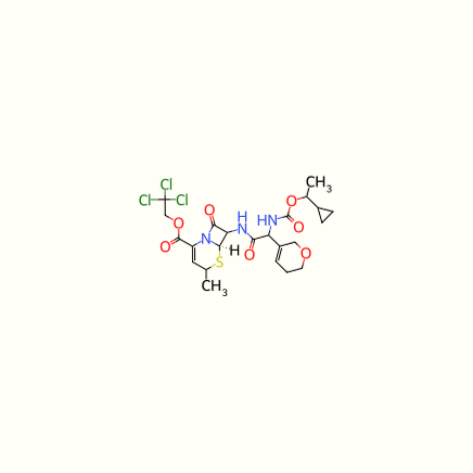 CC1C=C(C(=O)OCC(Cl)(Cl)Cl)N2C(=O)C(NC(=O)C(NC(=O)OC(C)C3CC3)C3=CCCOC3)[C@H]2S1